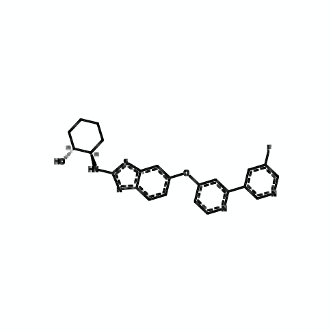 O[C@@H]1CCCC[C@H]1Nc1nc2ccc(Oc3ccnc(-c4cncc(F)c4)c3)cc2s1